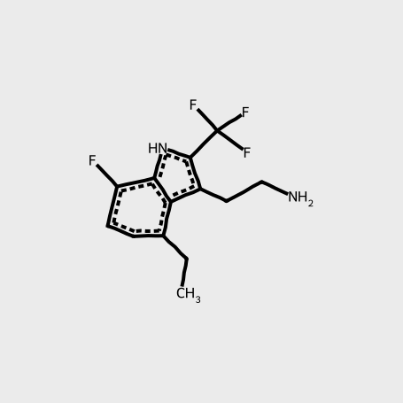 CCc1ccc(F)c2[nH]c(C(F)(F)F)c(CCN)c12